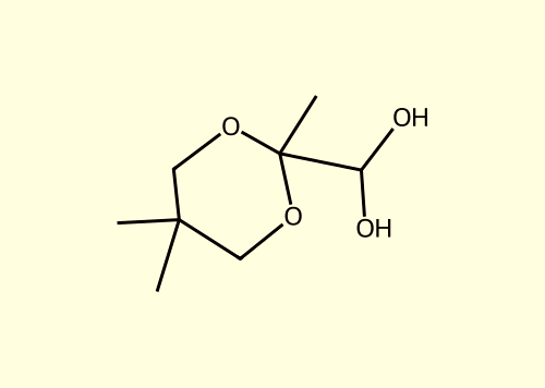 CC1(C)COC(C)(C(O)O)OC1